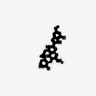 COc1cc(Cl)c2[nH]c(C(=O)NC(CC3CC3)C(=O)NC(C[C@@H]3CCCNC3=O)C(N)=O)cc2c1